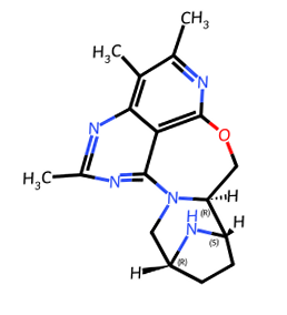 Cc1nc2c3c(nc(C)c(C)c3n1)OC[C@H]1[C@@H]3CC[C@H](CN21)N3